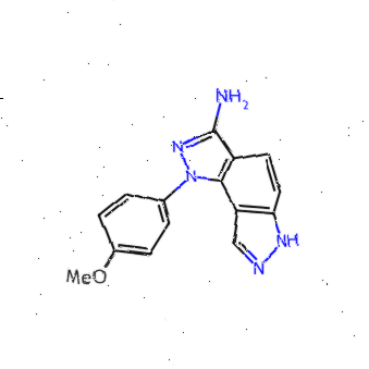 COc1ccc(-n2nc(N)c3ccc4[nH]ncc4c32)cc1